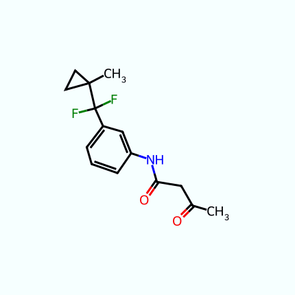 CC(=O)CC(=O)Nc1cccc(C(F)(F)C2(C)CC2)c1